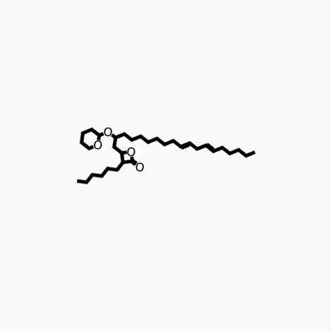 CCCCCC=CCC=CCCCCCCCC(CC1OC(=O)C1CCCCCC)OC1CCCCO1